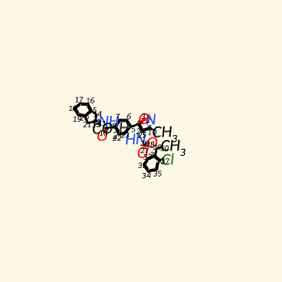 Cc1noc(-c2ccc(C(=O)NC3(C(=O)O)Cc4ccccc4C3)cc2)c1NC(=O)OC(C)c1ccccc1Cl